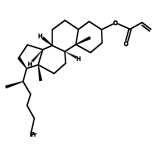 C=CC(=O)OC1CC[C@@]2(C)C(CC[C@H]3[C@@H]4CC[C@H]([C@H](C)CCCC(C)C)[C@@]4(C)CC[C@@H]32)C1